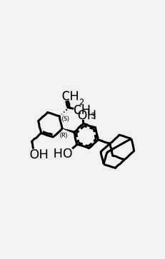 C=C(C)[C@H]1CCC(CO)=C[C@@H]1c1c(O)cc(C23CC4CC(CC(C4)C2)C3)cc1O